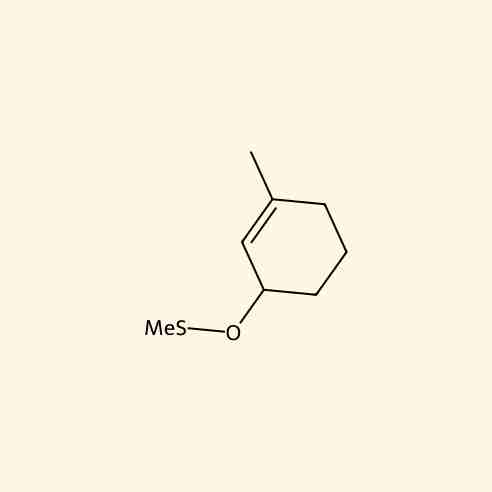 CSOC1C=C(C)CCC1